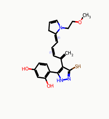 C=C(/C=C\C=C1/CC=CN1CCOC)c1c(S)n[nH]c1-c1ccc(O)cc1O